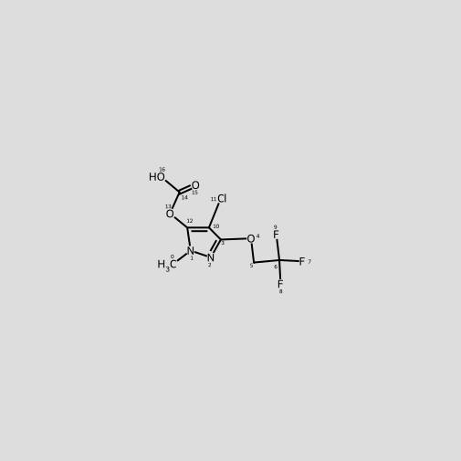 Cn1nc(OCC(F)(F)F)c(Cl)c1OC(=O)O